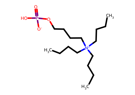 CCCC[N+](CCCC)(CCCC)CCCCOP(=O)([O-])O